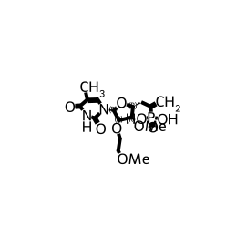 C=C(C[C@H]1O[C@@H](n2cc(C)c(=O)[nH]c2=O)[C@H](OCCOC)[C@@H]1OC)P(=O)(O)O